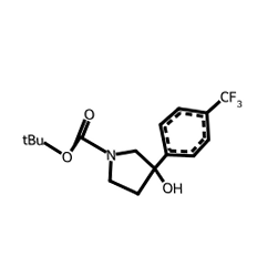 CC(C)(C)OC(=O)N1CCC(O)(c2ccc(C(F)(F)F)cc2)C1